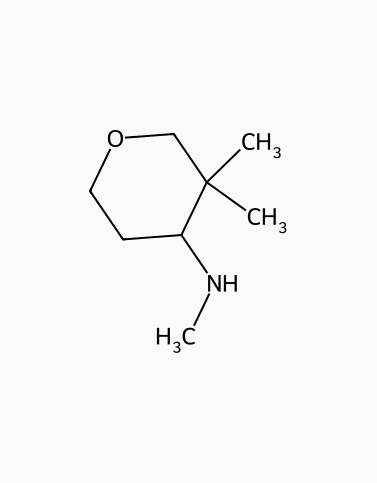 CNC1CCOCC1(C)C